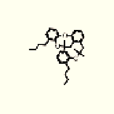 CCCCc1ccccc1OC(C)(C)Cc1cccc(O)c1CC(C)(C)Oc1ccccc1CCCC